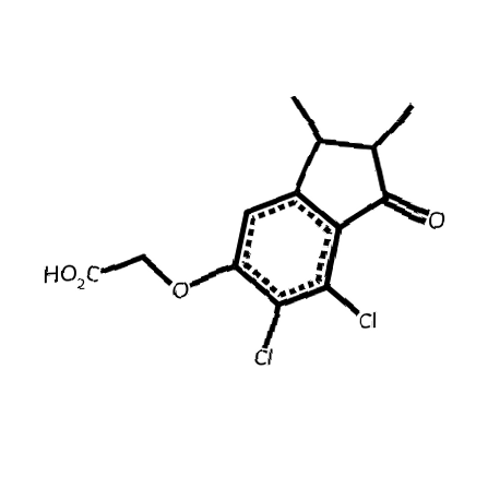 CC1C(=O)c2c(cc(OCC(=O)O)c(Cl)c2Cl)C1C